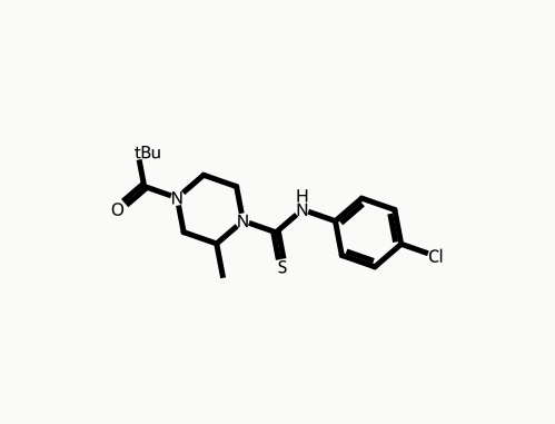 CC1CN(C(=O)C(C)(C)C)CCN1C(=S)Nc1ccc(Cl)cc1